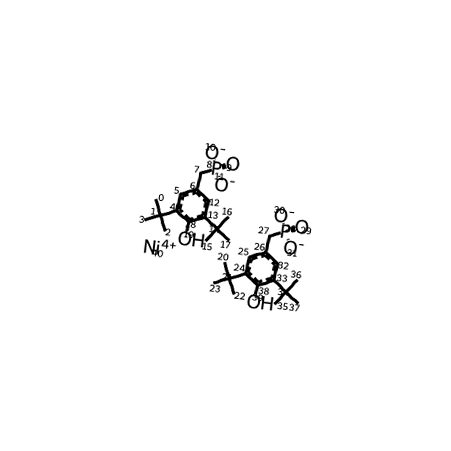 CC(C)(C)c1cc(CP(=O)([O-])[O-])cc(C(C)(C)C)c1O.CC(C)(C)c1cc(CP(=O)([O-])[O-])cc(C(C)(C)C)c1O.[Ni+4]